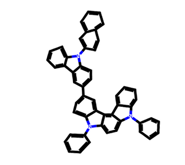 c1ccc(-n2c3ccccc3c3c4c5cc(-c6ccc7c(c6)c6ccccc6n7-c6ccc7ccccc7c6)ccc5n(-c5ccccc5)c4ccc32)cc1